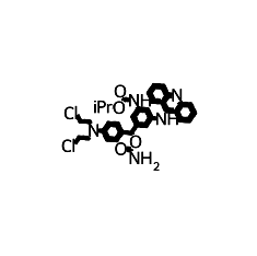 CC(C)OC(=O)Nc1cc(Nc2c3ccccc3nc3ccccc23)cc(C(OC(N)=O)c2ccc(N(CCCl)CCCl)cc2)c1